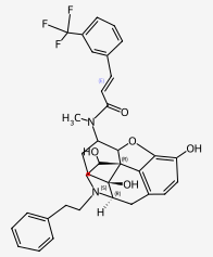 CN(C(=O)/C=C/c1cccc(C(F)(F)F)c1)C1CC[C@@]2(O)[C@H]3Cc4ccc(O)c5c4[C@@]2(C(O)CN3CCc2ccccc2)C1O5